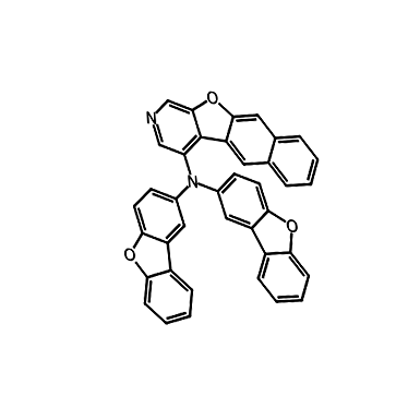 c1ccc2cc3c(cc2c1)oc1cncc(N(c2ccc4oc5ccccc5c4c2)c2ccc4oc5ccccc5c4c2)c13